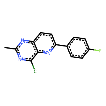 Cc1nc(Cl)c2nc(-c3ccc(F)cc3)ccc2n1